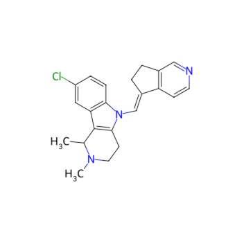 CC1c2c(n(/C=C3\CCc4cnccc43)c3ccc(Cl)cc23)CCN1C